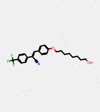 N#C/C(=C\c1ccc(OCCCCCCCCO)cc1)c1ccc(C(F)(F)F)cc1